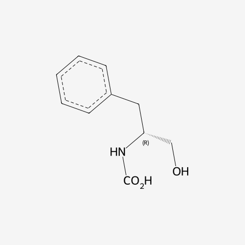 O=C(O)N[C@@H](CO)Cc1ccccc1